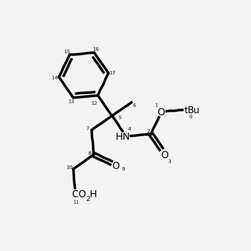 CC(C)(C)OC(=O)NC(C)(CC(=O)CC(=O)O)c1ccccc1